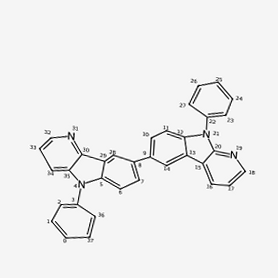 c1ccc(-n2c3ccc(-c4ccc5c(c4)c4cccnc4n5-c4ccccc4)cc3c3ncccc32)cc1